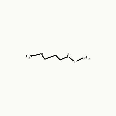 NNCCC[SiH2]O[SiH3]